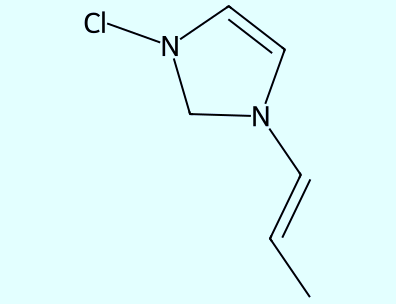 CC=CN1C=CN(Cl)C1